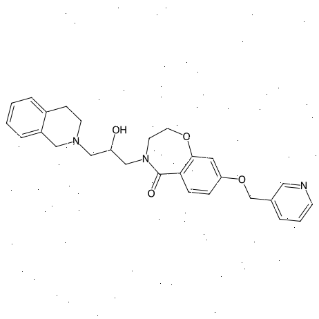 O=C1c2ccc(OCc3cccnc3)cc2OCCN1CC(O)CN1CCc2ccccc2C1